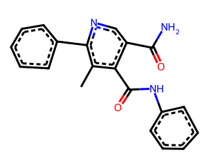 Cc1c(-c2ccccc2)ncc(C(N)=O)c1C(=O)Nc1ccccc1